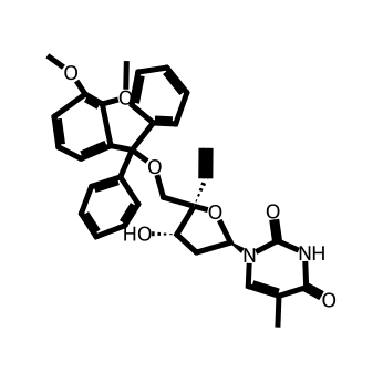 C#C[C@]1(COC(c2ccccc2)(c2ccccc2)c2cccc(OC)c2OC)O[C@@H](n2cc(C)c(=O)[nH]c2=O)C[C@@H]1O